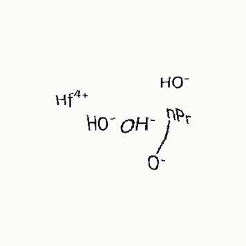 CCC[O-].[Hf+4].[OH-].[OH-].[OH-]